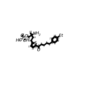 CCc1ccc(CCCCC(=O)c2ccc(CCC(C)(N)COP(=O)(O)O)s2)cc1